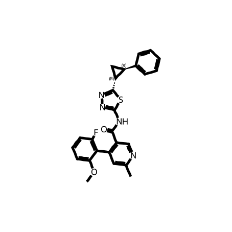 COc1cccc(F)c1-c1cc(C)ncc1C(=O)Nc1nnc([C@@H]2C[C@H]2c2ccccc2)s1